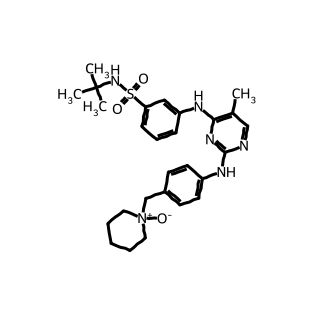 Cc1cnc(Nc2ccc(C[N+]3([O-])CCCCC3)cc2)nc1Nc1cccc(S(=O)(=O)NC(C)(C)C)c1